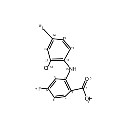 O=C(O)c1ccc(F)cc1Nc1ccc(I)cc1Cl